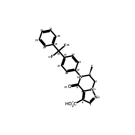 C[C@H]1Cn2ncc(C(=O)O)c2C(=O)N1c1ccc(C(F)(F)c2ccccc2)cc1